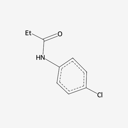 [CH2]CC(=O)Nc1ccc(Cl)cc1